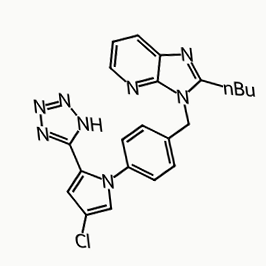 CCCCc1nc2cccnc2n1Cc1ccc(-n2cc(Cl)cc2-c2nnn[nH]2)cc1